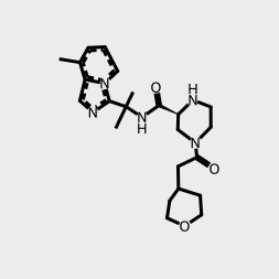 Cc1cccn2c(C(C)(C)NC(=O)[C@@H]3CN(C(=O)CC4CCOCC4)CCN3)ncc12